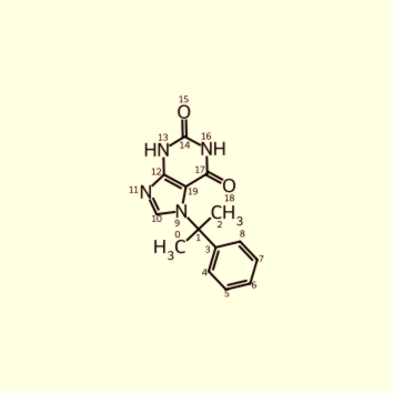 CC(C)(c1ccccc1)n1cnc2[nH]c(=O)[nH]c(=O)c21